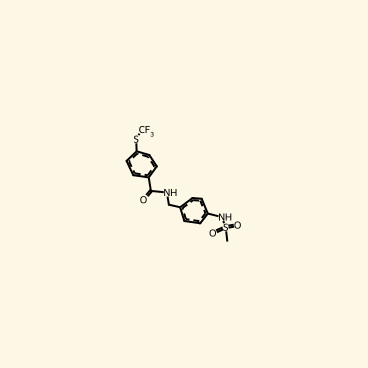 CS(=O)(=O)Nc1ccc(CNC(=O)c2ccc(SC(F)(F)F)cc2)cc1